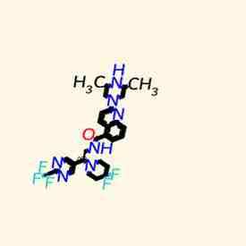 CC1CN(c2ccc3c(C(=O)NC[C@H](c4cnc(C(F)(F)F)nc4)N4CCC(F)(F)CC4)cccc3n2)CC(C)N1